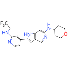 FC(F)(F)CNc1cc(-c2cc3cnc(NC4CCOCC4)cc3[nH]2)ccn1